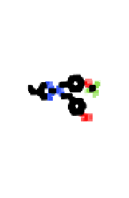 CCc1cnc(N(CCc2ccc(O)cc2)Cc2ccc(OC(F)(F)F)cc2)nc1